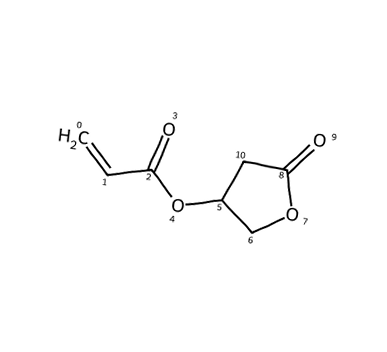 C=CC(=O)OC1COC(=O)C1